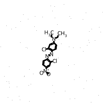 CCN(CC)c1ccc(N=Nc2ccc([N+](=O)[O-])cc2Cl)c(Cl)c1